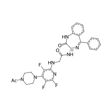 CC(=O)N1CCN(c2c(F)c(F)nc(NCC(=O)N[C@H]3N=C(c4ccccc4)c4ccccc4NC3=O)c2F)CC1